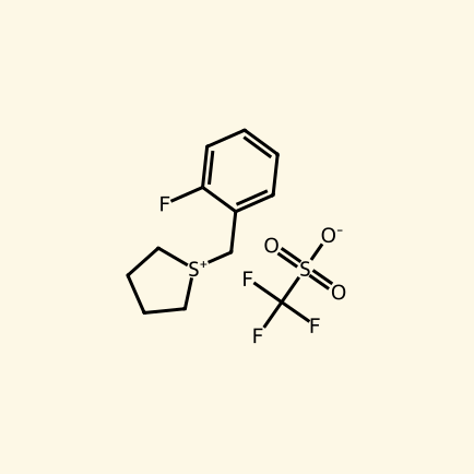 Fc1ccccc1C[S+]1CCCC1.O=S(=O)([O-])C(F)(F)F